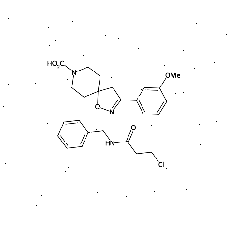 COc1cccc(C2=NOC3(CCN(C(=O)O)CC3)C2)c1.O=C(CCCl)NCc1ccccc1